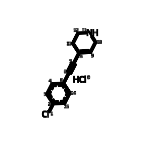 Cl.Clc1ccc(C#CC2=CCNCC2)cc1